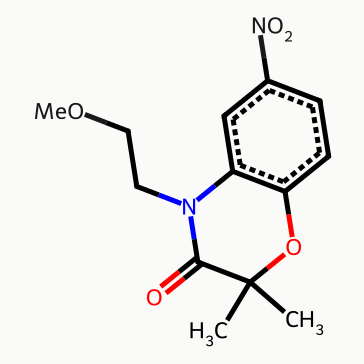 COCCN1C(=O)C(C)(C)Oc2ccc([N+](=O)[O-])cc21